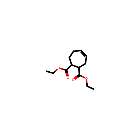 CCOC(=O)C1CC=CCCC1C(=O)OCC